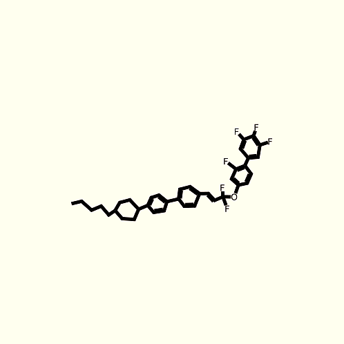 CCCCCC1CCC(c2ccc(-c3ccc(/C=C/C(F)(F)Oc4ccc(-c5cc(F)c(F)c(F)c5)c(F)c4)cc3)cc2)CC1